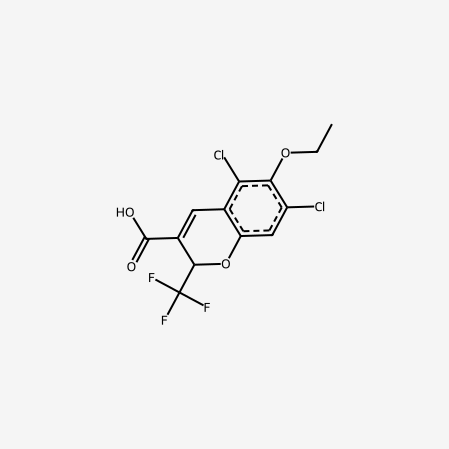 CCOc1c(Cl)cc2c(c1Cl)C=C(C(=O)O)C(C(F)(F)F)O2